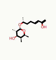 C=C(O)/C=C/CC[C@@H](C)O[C@@H]1O[C@@H](C)[C@@H](C)[C@@H](O)[C@@H]1C